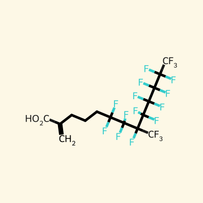 C=C(CCCC(F)(F)C(F)(F)C(F)(C(F)(F)F)C(F)(F)C(F)(F)C(F)(F)C(F)(F)C(F)(F)F)C(=O)O